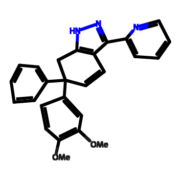 COc1ccc(C2(c3ccccc3)C=Cc3c(-c4ccccn4)n[nH]c3C2)cc1OC